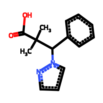 CC(C)(C(=O)O)C(c1ccccc1)n1cccn1